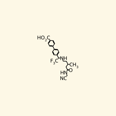 CC(CCNC(c1ccc(-c2ccc(C(=O)O)cc2)cc1)C(F)(F)F)CC(=O)NCC#N